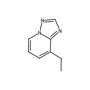 CCc1cccn2ncnc12